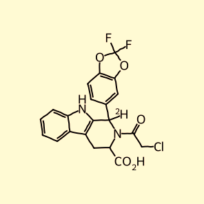 [2H]C1(c2ccc3c(c2)OC(F)(F)O3)c2[nH]c3ccccc3c2CC(C(=O)O)N1C(=O)CCl